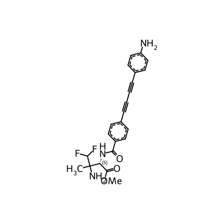 COC(=O)[C@@H](NC(=O)c1ccc(C#CC#Cc2ccc(N)cc2)cc1)C(C)(N)C(F)F